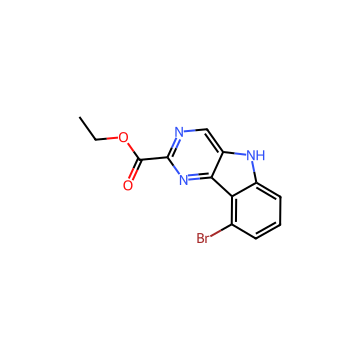 CCOC(=O)c1ncc2[nH]c3cccc(Br)c3c2n1